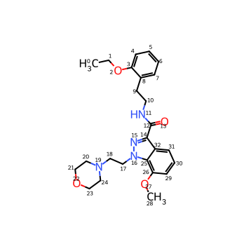 CCOc1ccccc1CCNC(=O)c1nn(CCN2CCOCC2)c2c(OC)cccc12